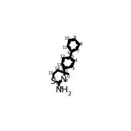 CC1(c2ccc(-c3ccccc3)cc2)CCSC(N)=N1